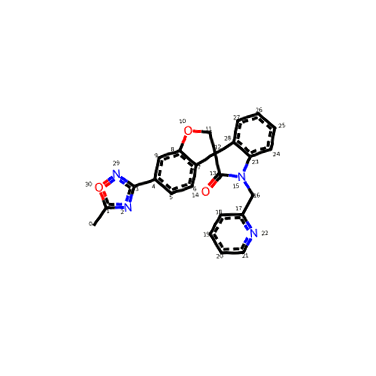 Cc1nc(-c2ccc3c(c2)OCC32C(=O)N(Cc3ccccn3)c3ccccc32)no1